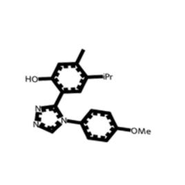 COc1ccc(-n2cnnc2-c2cc(C(C)C)c(C)cc2O)cc1